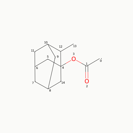 [CH2]C(=O)OC12CC3CC(CC(C3)C1C)C2